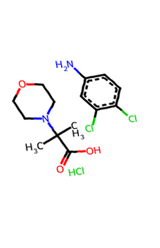 CC(C)(C(=O)O)N1CCOCC1.Cl.Nc1ccc(Cl)c(Cl)c1